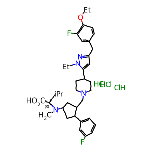 CCOc1ccc(Cc2cc(C3CCN(CC4CC(N(C)[C@@H](C(=O)O)C(C)C)CC4c4cccc(F)c4)CC3)n(CC)n2)cc1F.Cl.Cl.Cl